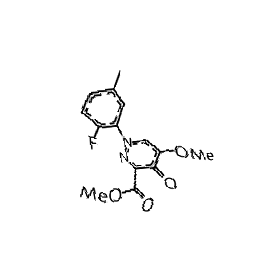 COC(=O)c1nn(-c2cc(C)ccc2F)cc(OC)c1=O